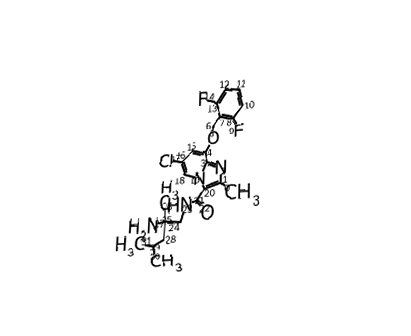 Cc1nc2c(OCc3c(F)cccc3F)cc(Cl)cn2c1C(=O)NCC(C)(N)CC(C)C